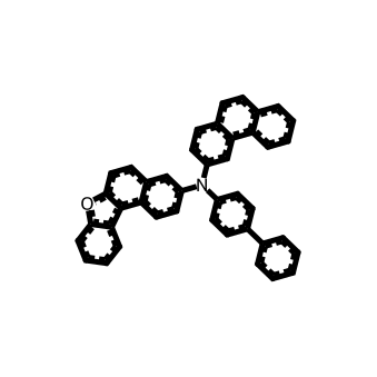 c1ccc(-c2ccc(N(c3ccc4c(ccc5oc6ccccc6c54)c3)c3ccc4ccc5ccccc5c4c3)cc2)cc1